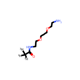 [2H]C([2H])([2H])C(=O)NCCOCCOCCN